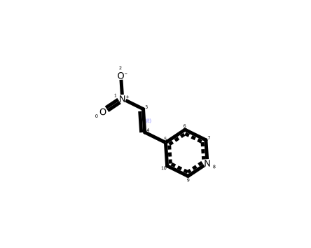 O=[N+]([O-])/C=C/c1ccncc1